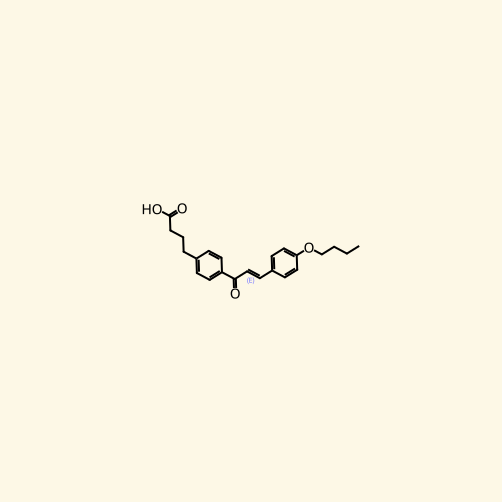 CCCCOc1ccc(/C=C/C(=O)c2ccc(CCCC(=O)O)cc2)cc1